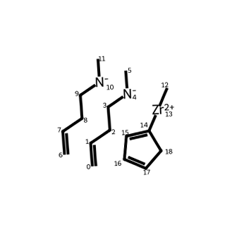 C=CCC[N-]C.C=CCC[N-]C.[CH3][Zr+2][C]1=CC=CC1